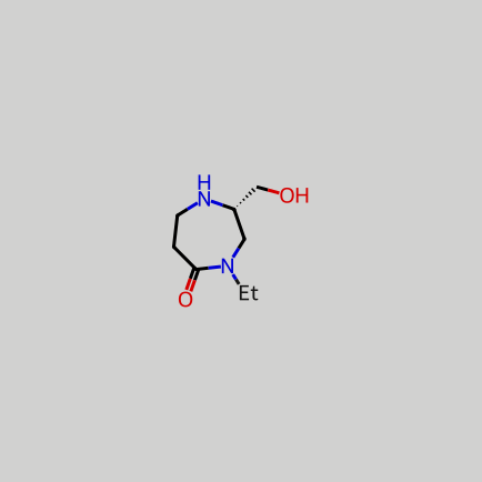 CCN1C[C@@H](CO)NCCC1=O